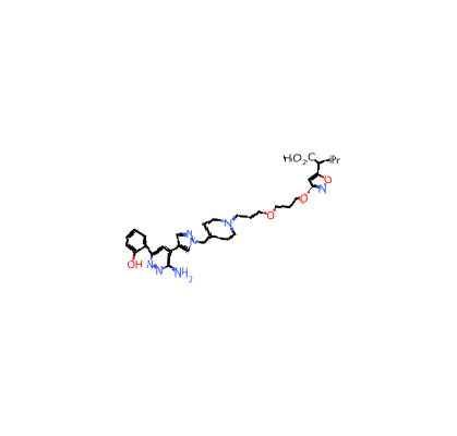 CC(C)C(C(=O)O)c1cc(OCCCOCCCN2CCC(Cn3cc(-c4cc(-c5ccccc5O)nnc4N)cn3)CC2)no1